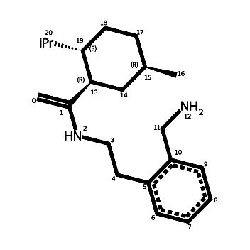 C=C(NCCc1ccccc1CN)[C@@H]1C[C@H](C)CC[C@H]1C(C)C